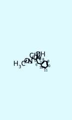 CON=C(C)C(Cc1ccccc1)=NO